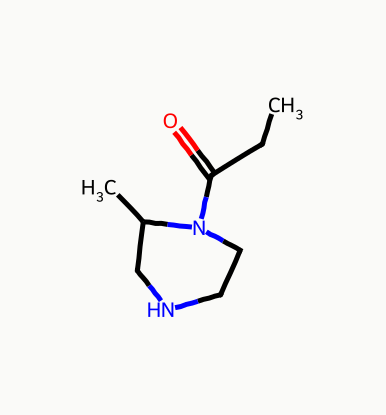 CCC(=O)N1CCNCC1C